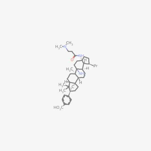 CC(C)[C@@H]1CC[C@]2(NC(=O)CCN(C)C)CC[C@]3(N)[C@H](CC[C@@H]4[C@@]5(C)CC[C@@H](c6ccc(C(=O)O)cc6)C(C)(C)[C@@H]5CC[C@]43C)[C@@H]12